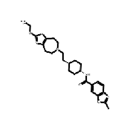 Cc1nc2ccc(C(=O)N[C@H]3CC[C@H](CCN4CCc5nc(OCC(F)(F)F)sc5CC4)CC3)cc2o1